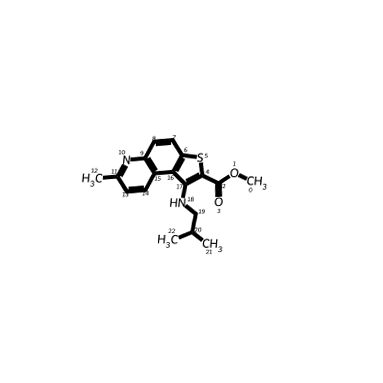 COC(=O)c1sc2ccc3nc(C)ccc3c2c1NCC(C)C